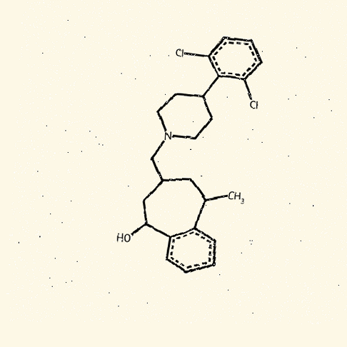 CC1CC(CN2CCC(c3c(Cl)cccc3Cl)CC2)CC(O)c2ccccc21